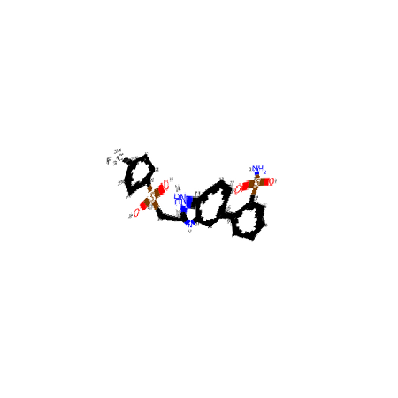 NS(=O)(=O)c1ccccc1-c1ccc2[nH]c(CS(=O)(=O)c3ccc(C(F)(F)F)cc3)nc2c1